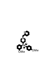 COc1ccc(S(=O)(=O)N(c2cccc(OC)c2)C2CCN(Cc3ccccn3)CC2)cc1